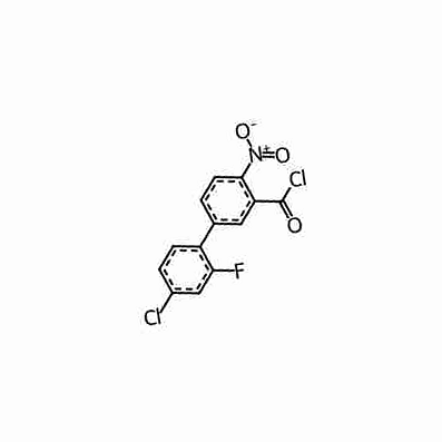 O=C(Cl)c1cc(-c2ccc(Cl)cc2F)ccc1[N+](=O)[O-]